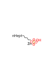 CCCCCCCCCCCCOS(=O)(=O)OO.[Zn]